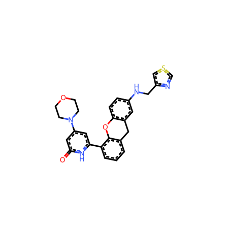 O=c1cc(N2CCOCC2)cc(-c2cccc3c2Oc2ccc(NCc4cscn4)cc2C3)[nH]1